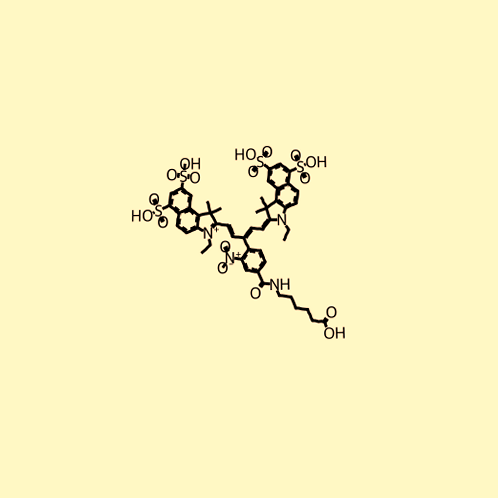 CCN1/C(=C/C=C(/C=C/C2=[N+](CC)c3ccc4c(S(=O)(=O)O)cc(S(=O)(=O)O)cc4c3C2(C)C)c2ccc(C(=O)NCCCCCC(=O)O)cc2[N+](=O)[O-])C(C)(C)c2c1ccc1c(S(=O)(=O)O)cc(S(=O)(=O)O)cc21